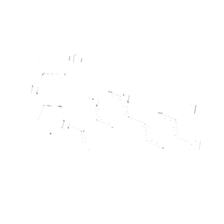 CC(C)(C)OC(=O)NC1CCN(C(=O)c2cc(-c3ccc(Cl)c(Cl)c3)ncn2)C1